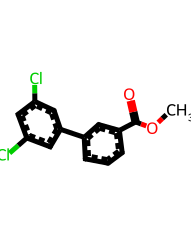 COC(=O)c1cccc(-c2cc(Cl)cc(Cl)c2)c1